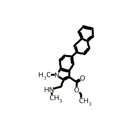 CCOC(=O)c1c(CNC)n(C)c2ccc(-c3ccc4ccccc4c3)cc12